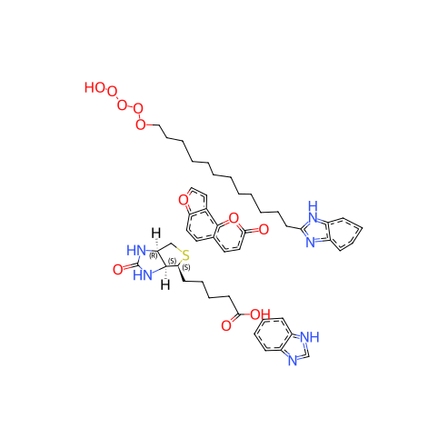 O=C(O)CCCC[C@@H]1SC[C@@H]2NC(=O)N[C@@H]21.O=c1ccc2ccc3occc3c2o1.OOOOOCCCCCCCCCCCCc1nc2ccccc2[nH]1.c1ccc2[nH]cnc2c1